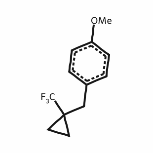 COc1ccc(CC2(C(F)(F)F)CC2)cc1